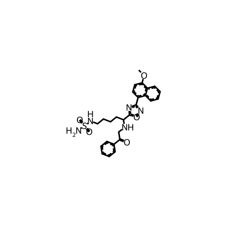 COc1ccc(-c2noc(C(CCCCNS(N)(=O)=O)NCC(=O)c3ccccc3)n2)c2ccccc12